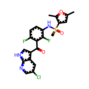 C=S(=O)(Nc1ccc(F)c(C(=O)c2c[nH]c3ncc(Cl)cc23)c1F)c1cc(C)oc1C